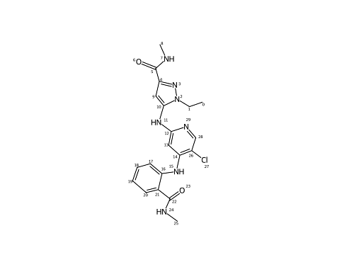 CCn1nc(C(=O)NC)cc1Nc1cc(Nc2ccccc2C(=O)NC)c(Cl)cn1